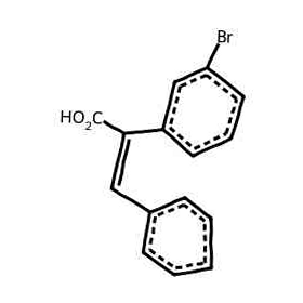 O=C(O)C(=Cc1ccccc1)c1cccc(Br)c1